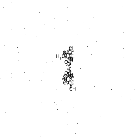 C#Cc1ccc2c(c1)C(=O)N1CCC[C@H]1c1c(C(=O)OCCCOC(=O)c3ncn4c3CN(C)C(=O)c3cc(Cl)ccc3-4)ncn1-2